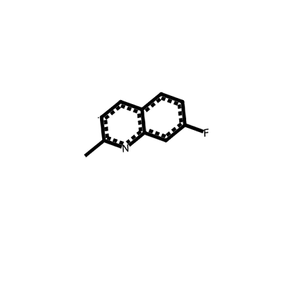 Cc1[c]cc2ccc(F)cc2n1